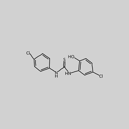 Oc1ccc(Cl)cc1NC(=S)Nc1ccc(Cl)cc1